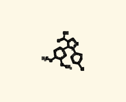 COc1ccc(-c2c(C(=O)O)cnn2-c2ccc(Cl)cc2)cc1OC